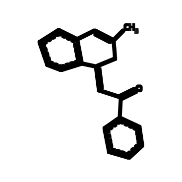 CC1=Cc2ccccc2C(=CC(=O)c2ccccc2)C1